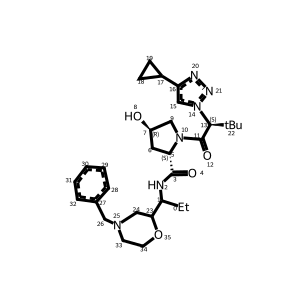 CCC(NC(=O)[C@@H]1C[C@@H](O)CN1C(=O)[C@@H](n1cc(C2CC2)nn1)C(C)(C)C)C1CN(Cc2ccccc2)CCO1